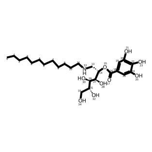 CCCCCCCCCCCCNC[C@H](OC(=O)c1cc(O)c(O)c(O)c1)[C@@H](O)[C@H](O)[C@H](O)CO